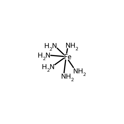 [NH2][Fe]([NH2])([NH2])([NH2])([NH2])[NH2]